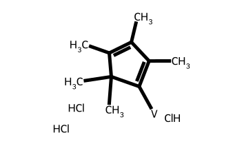 CC1=C(C)C(C)(C)[C]([V])=C1C.Cl.Cl.Cl